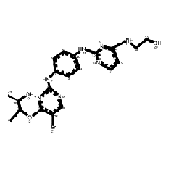 CC(Oc1nc(Nc2ccc(Nc3nccc(NCCO)n3)cc2)ncc1Br)[C@@H](C)O